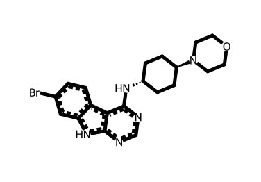 Brc1ccc2c(c1)[nH]c1ncnc(N[C@H]3CC[C@H](N4CCOCC4)CC3)c12